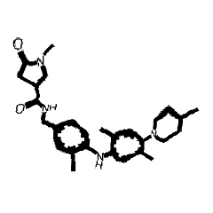 Cc1cc(CNC(=O)C2CC(=O)N(C)C2)ccc1Nc1cc(C)c(N2CCC(C)CC2)cc1C